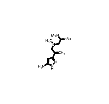 C=C(CN(C)CC(CCCC)NC)c1cc(N)[nH]n1